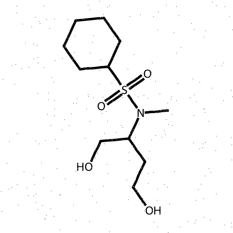 CN(C(CO)CCO)S(=O)(=O)C1CCCCC1